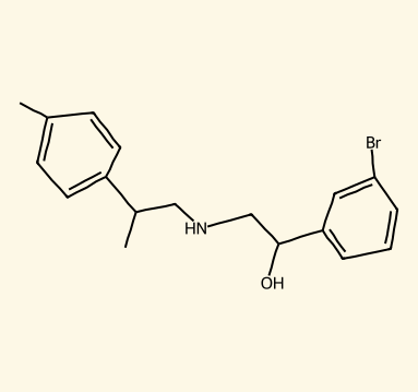 Cc1ccc(C(C)CNCC(O)c2cccc(Br)c2)cc1